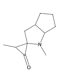 CC1C(=O)C12CC1CCCC1N2C